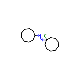 ClC1(/N=N/C2CCCCCCCC2)CCCCCCCC1